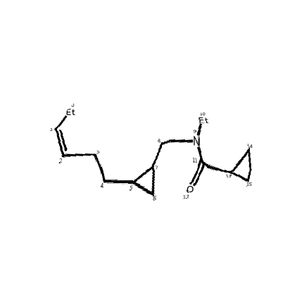 CC/C=C\CCC1CC1CN(CC)C(=O)C1CC1